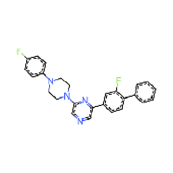 Fc1ccc(N2CCN(c3cncc(-c4ccc(-c5ccccc5)c(F)c4)n3)CC2)cc1